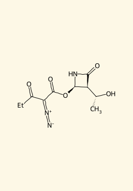 CCC(=O)C(=[N+]=[N-])C(=O)O[C@H]1NC(=O)[C@H]1[C@@H](C)O